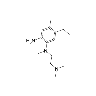 CCc1cc(N(C)CCN(C)C)c(N)cc1C